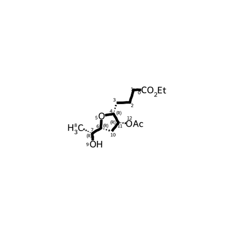 CCOC(=O)CCC[C@H]1O[C@@H]([C@@H](C)O)C[C@H]1OC(C)=O